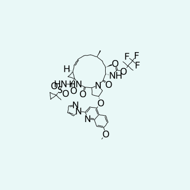 COc1ccc2c(O[C@@H]3CC4C(=O)N[C@]5(C(=O)NS(=O)(=O)C6(C)CC6)C[C@H]5/C=C\CC[C@@H](C)C[C@@H](C)[C@H](NC(=O)OC(C)(C)C(F)(F)F)C(=O)N4C3)cc(-n3cccn3)nc2c1